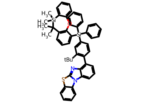 CC(C)(C)c1cc([Si](c2ccccc2)(c2ccccc2)c2cccc3c2Oc2ccccc2[Si](C)(C)C3(C)C)ccc1-c1cccc2c1nc1sc3ccccc3n12